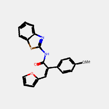 COc1ccc(/C(=C/c2ccco2)C(=O)Nc2nc3ccccc3s2)cc1